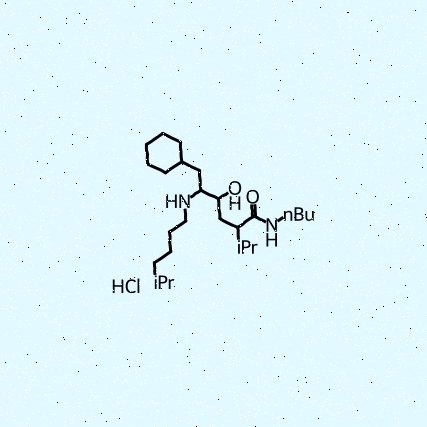 CCCCNC(=O)C(CC(O)C(CC1CCCCC1)NCCCCC(C)C)C(C)C.Cl